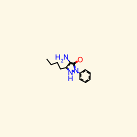 CCCCc1[nH]n(-c2ccccc2)c(=O)c1N